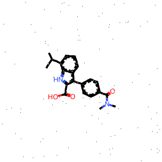 CC(C)c1cccc2c(-c3ccc(C(=O)N(C)C)cc3)c(C(=O)O)[nH]c12